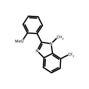 COc1ccccc1-c1nc2cccc(C(F)(F)F)c2n1C